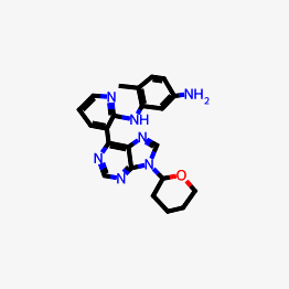 Cc1ccc(N)cc1Nc1ncccc1-c1ncnc2c1ncn2C1CCCCO1